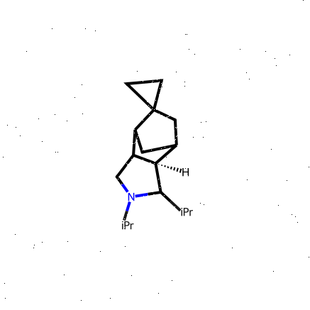 CC(C)C1[C@@H]2C3CC(C2CN1C(C)C)C1(CC1)C3